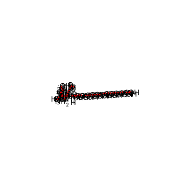 CC(C)[C@H](NC(=O)[C@H](CCCCNC(=O)C(O)COCC(O)COCC(O)COCC(O)COCC(O)COCC(O)COCC(O)COCC(O)COCC(O)COCC(O)COCC(O)COCC(O)CO)NC(=O)CCCCCN1C(=O)C=CC1=O)C(=O)N[C@@H](CCCNC(N)=O)C(=O)Nc1ccc(CO)cc1